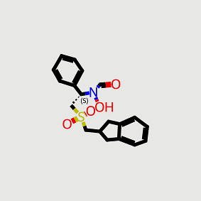 O=CN(O)[C@H](CS(=O)(=O)CC1Cc2ccccc2C1)c1ccccc1